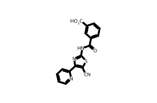 N#Cc1sc(NC(=O)c2cccc(C(=O)O)c2)nc1-c1ccccn1